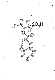 O=C(OC(C(F)F)C(F)(F)S(=O)(=O)O)c1ccc2ccccc2c1